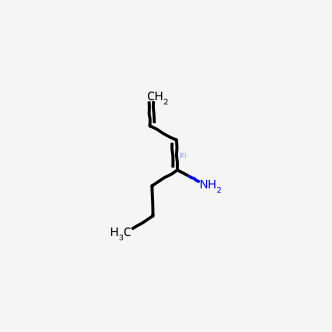 C=C/C=C(/N)CCC